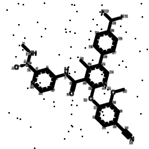 CN[S@+]([O-])c1cc(NC(=O)c2c(Oc3ccc(C#N)cc3OC)ncc(-c3ccc(C(F)F)cc3)c2C)ccn1